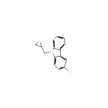 Clc1ccc2c(c1)c1ccccc1n2CC1CO1